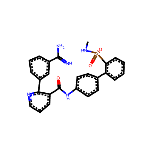 CNS(=O)(=O)c1ccccc1-c1ccc(NC(=O)c2cccnc2-c2cccc(C(=N)N)c2)cc1